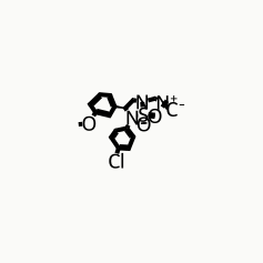 [C-]#[N+]CN1C[C@H](c2cccc(OC)c2)N(c2ccc(Cl)cc2)S1(=O)=O